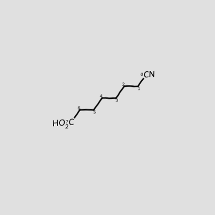 N#CCCCCCCC(=O)O